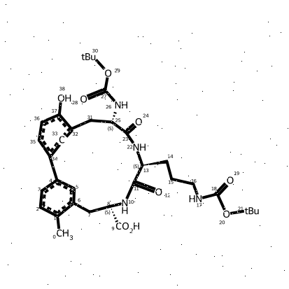 Cc1ccc2cc1C[C@@H](C(=O)O)NC(=O)[C@H](CCCNC(=O)OC(C)(C)C)NC(=O)[C@@H](NC(=O)OC(C)(C)C)Cc1cc-2ccc1O